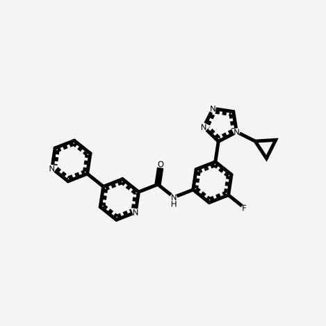 O=C(Nc1cc(F)cc(-c2nncn2C2CC2)c1)c1cc(-c2cccnc2)ccn1